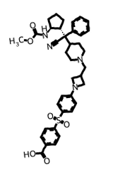 COC(=O)N[C@H]1CCC[C@@H]1C(C#N)(c1ccccc1)C1CCN(CC2CN(c3ccc(S(=O)(=O)c4ccc(C(=O)O)cc4)cc3)C2)CC1